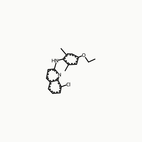 CCOc1cc(C)c(Nc2ccc3cccc(Cl)c3n2)c(C)c1